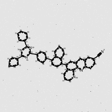 N#Cc1ccc2nc3c(cc(-c4ccc(-c5ccc(-c6nc(-c7ccccc7)nc(-c7ccccc7)n6)cc5)c5ccccc45)c4cccnc43)cc2c1